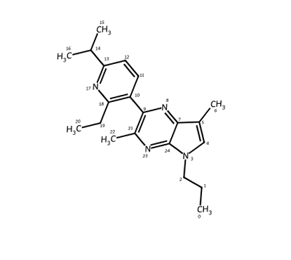 CCCn1cc(C)c2nc(-c3ccc(C(C)C)nc3CC)c(C)nc21